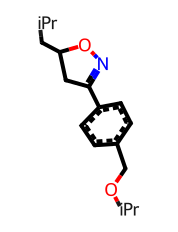 CC(C)CC1CC(c2ccc(COC(C)C)cc2)=NO1